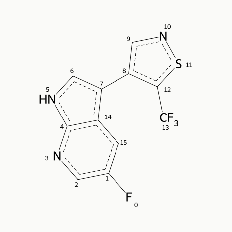 Fc1cnc2[nH]cc(-c3cnsc3C(F)(F)F)c2c1